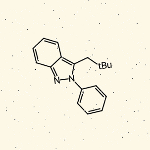 CC(C)(C)Cc1c2ccccc2nn1-c1ccccc1